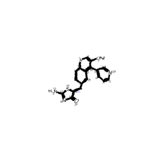 N#Cc1cnc2ccc(/C=C3\SC(N)=NC3=O)cc2c1-c1cccnc1